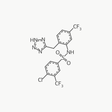 O=S(=O)(Nc1cc(C(F)(F)F)ccc1Cc1nn[nH]n1)c1ccc(Cl)c(C(F)(F)F)c1